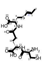 C/C=C/SC[C@H](NC(=O)CC[C@H](NC(=O)[C@@H](N)CS)C(=O)O)C(=O)O